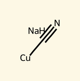 N#[C][Cu].[NaH]